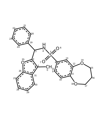 Cc1c(C(NS(=O)(=O)c2ccc3c(c2)OCCCO3)c2ccccc2)oc2ccccc12